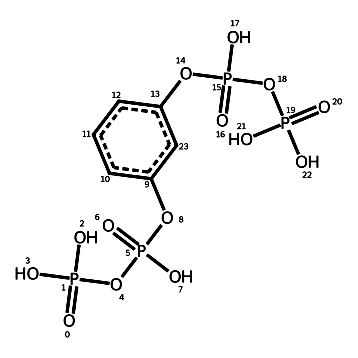 O=P(O)(O)OP(=O)(O)Oc1cccc(OP(=O)(O)OP(=O)(O)O)c1